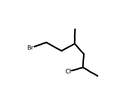 CC(Cl)CC(C)CCBr